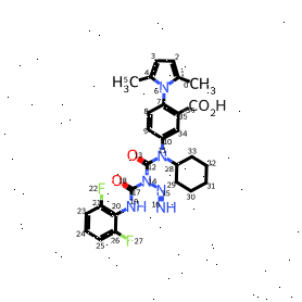 Cc1ccc(C)n1-c1ccc(N(C(=O)N(N=N)C(=O)Nc2c(F)cccc2F)C2CCCCC2)cc1C(=O)O